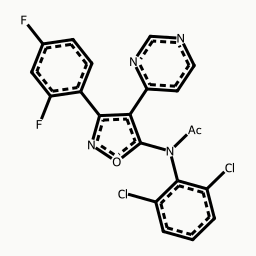 CC(=O)N(c1onc(-c2ccc(F)cc2F)c1-c1ccncn1)c1c(Cl)cccc1Cl